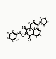 O=C1c2cccc3c(N4CCCC4)ccc(c23)C(=O)N1OCc1ccccc1